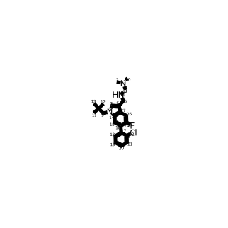 CN(C)SNCc1cn(CC(C)(C)C)c2cc(-c3ccccc3Cl)c(F)cc12